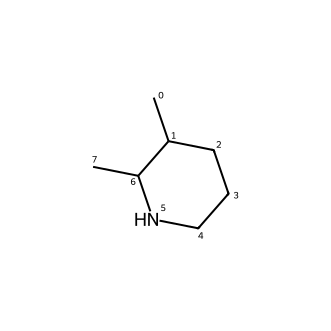 CC1CCCNC1C